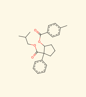 Cc1ccc(C(=O)OC2CCCC2(C(=O)OCC(C)C)c2ccccc2)cc1